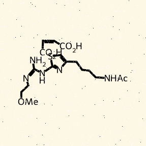 COCC/N=C(/N)Nc1nc(CCCCNC(C)=O)cs1.O=C(O)/C=C\C(=O)O